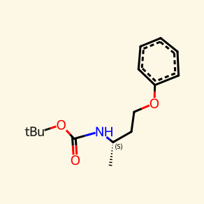 C[C@@H](CCOc1ccccc1)NC(=O)OC(C)(C)C